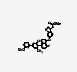 COC(=O)C[C@@H]1COc2cc(O[C@@H]3CCc4c(-c5c(C)cc(-c6ccnc(OC)n6)cc5C)ccc(F)c43)ccc21